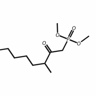 CCCCCC(C)C(=O)CP(=O)(OC)OC